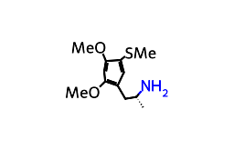 COc1cc(OC)c(SC)cc1C[C@@H](C)N